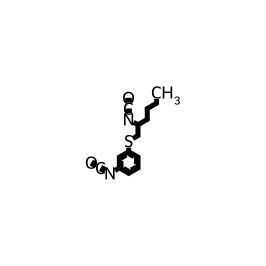 CCCCC(CSc1cccc(N=C=O)c1)N=C=O